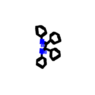 c1ccc(/N=C(/C(=N/c2ccccc2)c2ccccc2)c2ccccc2)cc1